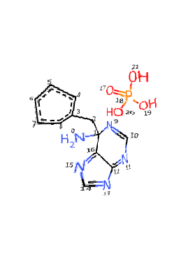 NC1(Cc2ccccc2)N=CN=C2N=CN=C21.O=P(O)(O)O